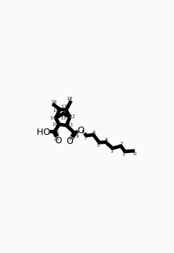 CCCCCCCCOC(=O)C1C2CC(C(C)C2C)C1C(=O)O